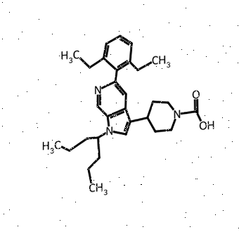 CCCC(CCC)n1cc(C2CCN(C(=O)O)CC2)c2cc(-c3c(CC)cccc3CC)ncc21